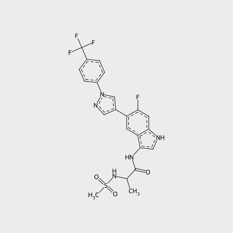 CC(NS(C)(=O)=O)C(=O)Nc1c[nH]c2cc(F)c(-c3cnn(-c4ccc(C(F)(F)F)cc4)c3)cc12